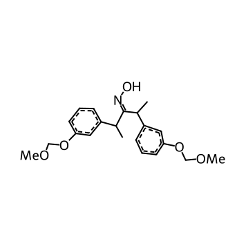 COCOc1cccc(C(C)C(=NO)C(C)c2cccc(OCOC)c2)c1